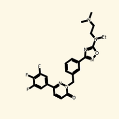 CCN(CCN(C)C)c1nc(-c2cccc(Cn3nc(-c4cc(F)c(F)c(F)c4)ccc3=O)c2)no1